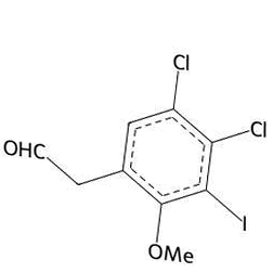 COc1c(CC=O)cc(Cl)c(Cl)c1I